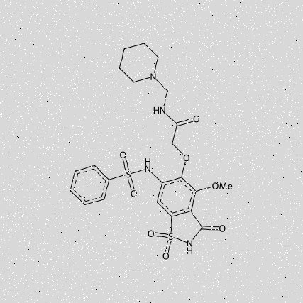 COc1c(OCC(=O)NCN2CCCCC2)c(NS(=O)(=O)c2ccccc2)cc2c1C(=O)NS2(=O)=O